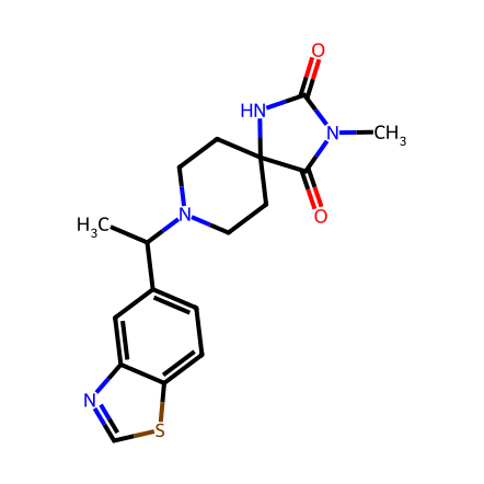 CC(c1ccc2scnc2c1)N1CCC2(CC1)NC(=O)N(C)C2=O